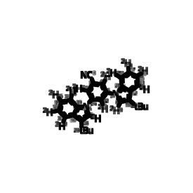 [2H]c1c(C#N)c([2H])c(-n2c([2H])c(C(C)(C)C)c3c([2H])c([2H])c([2H])c([2H])c32)c([2H])c1-n1c([2H])c(C(C)(C)C)c2c([2H])c([2H])c([2H])c([2H])c21